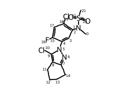 CN(c1cc(-n2nc3c(c2Cl)CCCC3)c(F)cc1Cl)S(C)(=O)=O